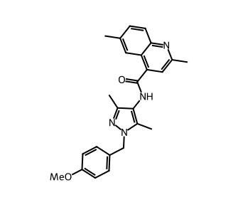 COc1ccc(Cn2nc(C)c(NC(=O)c3cc(C)nc4ccc(C)cc34)c2C)cc1